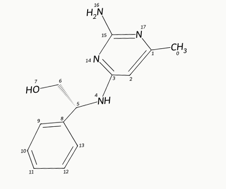 Cc1cc(N[C@@H](CO)c2ccccc2)nc(N)n1